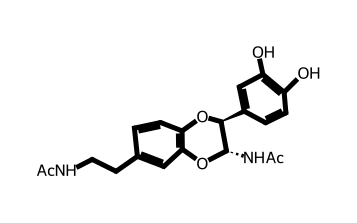 CC(=O)NCCc1ccc2c(c1)O[C@@H](NC(C)=O)[C@H](c1ccc(O)c(O)c1)O2